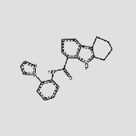 O=C(Nc1ccccc1-n1cccn1)c1cccc2c3c([nH]c12)CCCC3